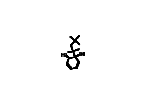 CC(C)(C)CC(C)(C)C1(O)C=CC=CC1O